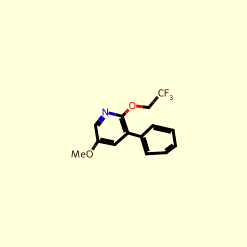 COc1cnc(OCC(F)(F)F)c(-c2ccccc2)c1